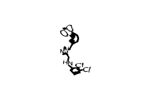 Clc1cccc(CNCCc2cncn2Cc2ccc3c(c2)OCO3)c1Cl